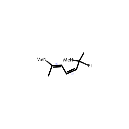 CCC(C)(/C=C\C=C(/C)NC)NC